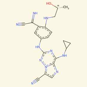 C[C@@H](O)CNc1ccc(Nc2nc(NC3CC3)c3ncc(C#N)n3n2)cc1C(=N)C#N